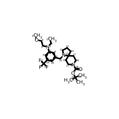 CCN(CCOC)c1cc(CN2CCCC23CCN(C(=O)OC(C)(C)C)CC3)cc(C(F)(F)F)c1